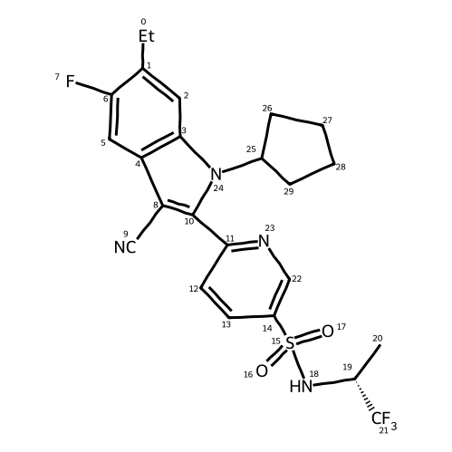 CCc1cc2c(cc1F)c(C#N)c(-c1ccc(S(=O)(=O)N[C@H](C)C(F)(F)F)cn1)n2C1CCCC1